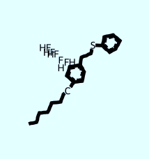 CCCCCCCCc1ccc(CCSc2ccccc2)cc1.F.F.F.F.F